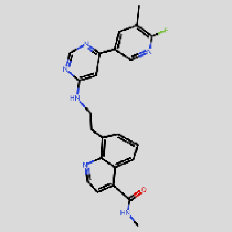 CNC(=O)c1ccnc2c(CCNc3cc(-c4cnc(F)c(C)c4)ncn3)cccc12